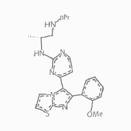 CCCNC[C@@H](C)Nc1nccc(-c2c(-c3ccccc3OC)nc3sccn23)n1